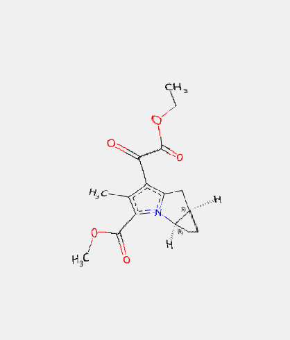 CCOC(=O)C(=O)c1c(C)c(C(=O)OC)n2c1C[C@H]1C[C@H]12